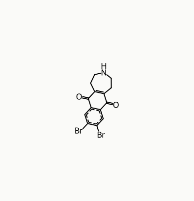 O=C1C2=C(CCNCC2)C(=O)c2cc(Br)c(Br)cc21